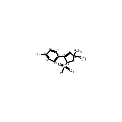 CS(=O)(=O)C1CC(C(F)(F)F)(C(F)(F)F)C=C1c1ccc(F)cc1